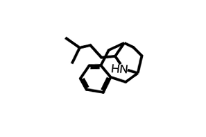 CC(C)CCC1NC2CCC1Cc1ccccc1C2